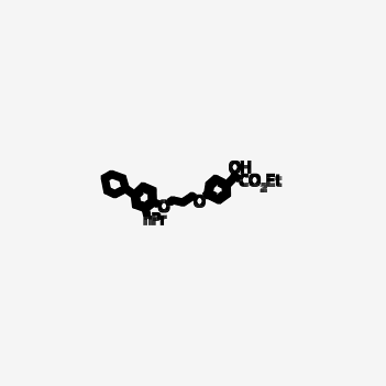 CCCc1cc(C2CCCCC2)ccc1OCCCOc1ccc(C(O)C(=O)OCC)cc1